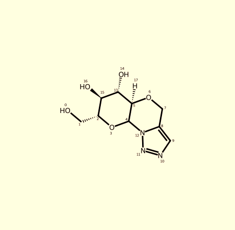 OC[C@H]1OC2[C@H](OCc3cnnn32)[C@@H](O)[C@@H]1O